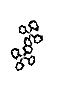 c1ccc([Si](c2ccccc2)(c2ccccc2)c2ccc3cc([Si](c4ccccc4)(c4ccccc4)c4ccccc4)ccc3c2)cc1